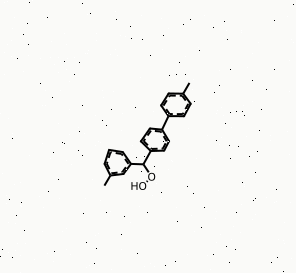 Cc1ccc(-c2ccc(C(OO)c3cccc(C)c3)cc2)cc1